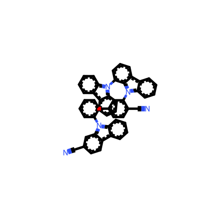 N#Cc1ccc2c3ccccc3n(-c3ccccc3-c3ccc(C#N)c(-n4c5ccccc5c5cccc(-n6c7ccccc7c7ccccc76)c54)c3)c2c1